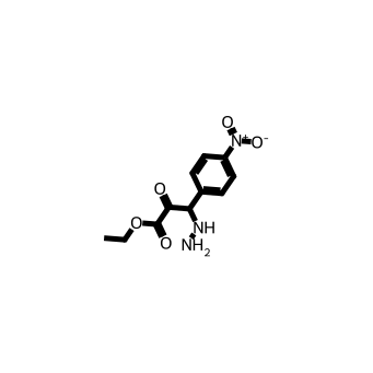 CCOC(=O)C(=O)C(NN)c1ccc([N+](=O)[O-])cc1